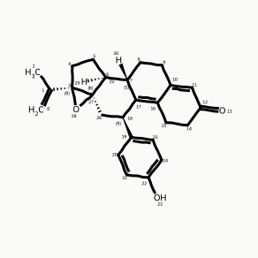 C=C(C)[C@]12CC[C@H]3[C@@H]4CCC5=CC(=O)CCC5=C4[C@@H](c4ccc(O)cc4)C[C@@]31O2